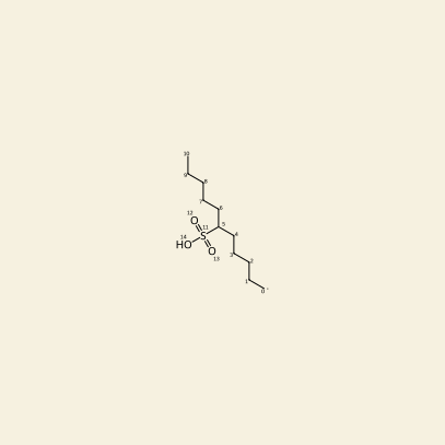 [CH2]CCCCC(CCCCC)S(=O)(=O)O